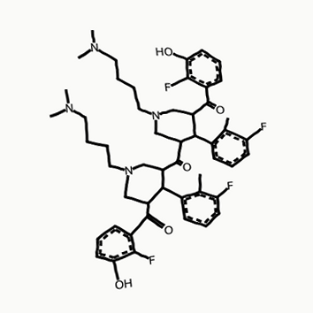 Cc1c(F)cccc1C1C(C(=O)c2cccc(O)c2F)CN(CCCCN(C)C)CC1C(=O)C1CN(CCCCN(C)C)CC(C(=O)c2cccc(O)c2F)C1c1cccc(F)c1C